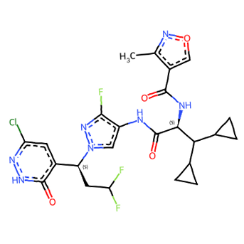 Cc1nocc1C(=O)N[C@H](C(=O)Nc1cn([C@@H](CC(F)F)c2cc(Cl)n[nH]c2=O)nc1F)C(C1CC1)C1CC1